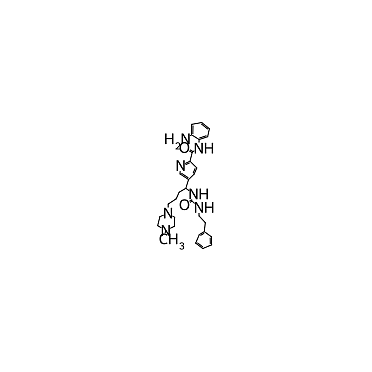 CN1CCN(CCCC(NC(=O)NCCc2ccccc2)c2ccc(C(=O)Nc3ccccc3N)nc2)CC1